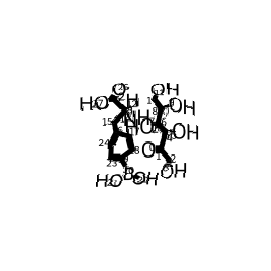 O=C(CO)[C@@H](O)[C@H](O)[C@H](O)CO.[2H][C@@](N)(Cc1ccc(B(O)O)cc1)C(=O)O